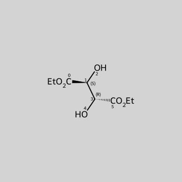 CCOC(=O)[C@@H](O)[C@@H](O)C(=O)OCC